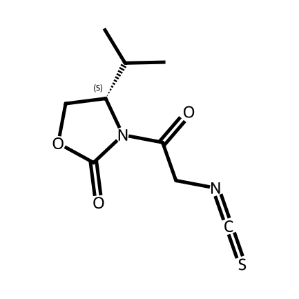 CC(C)[C@H]1COC(=O)N1C(=O)CN=C=S